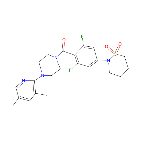 Cc1cnc(N2CCN(C(=O)c3c(F)cc(N4CCCCS4(=O)=O)cc3F)CC2)c(C)c1